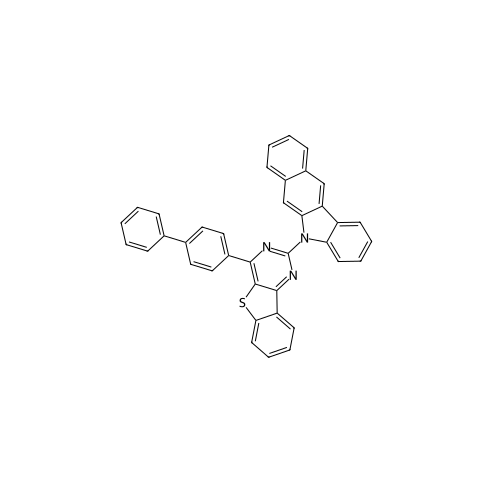 c1ccc(-c2ccc(-c3nc(-n4c5ccccc5c5cc6ccccc6cc54)nc4c3sc3ccccc34)cc2)cc1